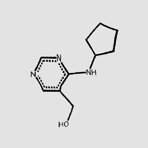 OCc1cncnc1NC1CCCC1